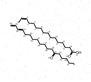 C/C=C\CCCCCCCCCCCCC(=O)O.C=CC=CCCCCCCCCC(=O)CCCCC